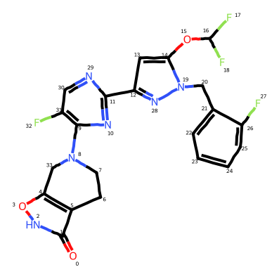 O=c1[nH]oc2c1CCN(c1nc(-c3cc(OC(F)F)n(Cc4ccccc4F)n3)ncc1F)C2